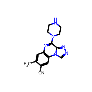 N#Cc1cc2c(cc1C(F)(F)F)nc(N1CCNCC1)c1nncn12